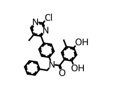 Cc1cc(C(=O)N(Cc2ccccc2)c2ccc(-c3nc(Cl)ncc3C)cc2)c(O)cc1O